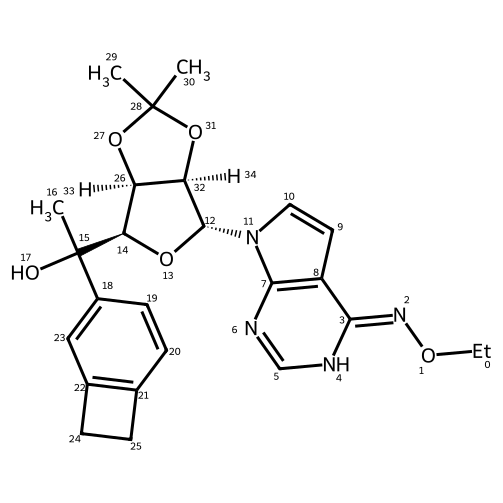 CCON=c1[nH]cnc2c1ccn2[C@@H]1O[C@@H](C(C)(O)c2ccc3c(c2)CC3)[C@H]2OC(C)(C)O[C@H]21